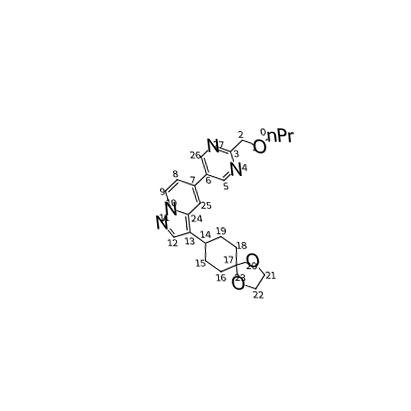 CCCOCc1ncc(-c2ccn3ncc(C4CCC5(CC4)OCCO5)c3c2)cn1